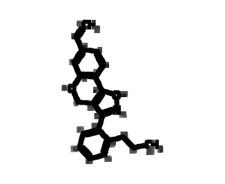 C=Cc1ccc2c(c1)OCc1c(-c3ccccc3CCC)noc1-2